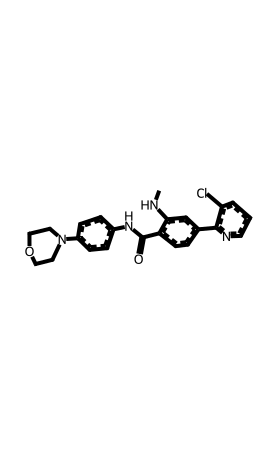 CNc1cc(-c2ncccc2Cl)ccc1C(=O)Nc1ccc(N2CCOCC2)cc1